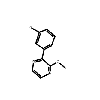 COc1nccnc1-c1cccc(Cl)c1